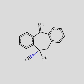 [C-]#[N+]C1(C)Cc2ccccc2C(=C)c2ccccc21